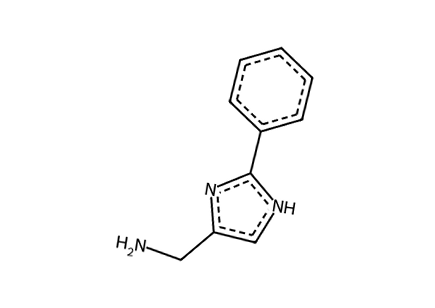 NCc1c[nH]c(-c2ccccc2)n1